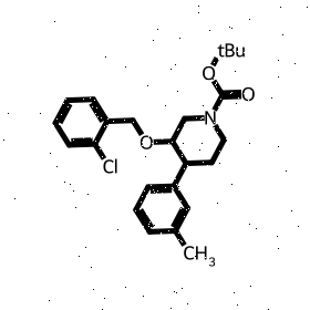 Cc1cccc(C2CCN(C(=O)OC(C)(C)C)CC2OCc2ccccc2Cl)c1